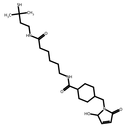 CC(C)(S)CCNC(=O)CCCCCNC(=O)C1CCC(CN2C(=O)C=CC2O)CC1